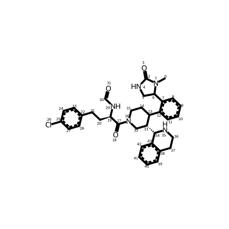 CN1C(=O)NCC1c1ccccc1C1CCN(C(=O)[C@@H](CCc2ccc(Cl)cc2)NC=O)C[C@H]1C1NCCc2ccccc21